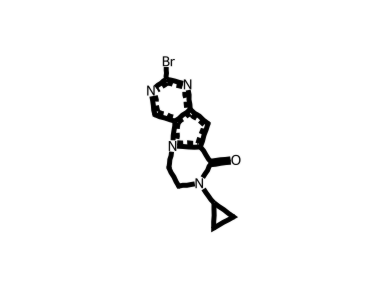 O=C1c2cc3nc(Br)ncc3n2CCN1C1CC1